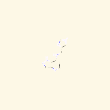 Cn1cnc(CNc2ccnc3cn[nH]c23)c1